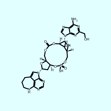 Nc1nc(CO)nc2c1ncn2[C@@H]1O[C@@H]2COP(=O)(S)O[C@H]3C[C@H](n4cc5c6c(ncnc64)NCCC5)O[C@@H]3COC(=O)O[C@@H]1[C@@H]2O